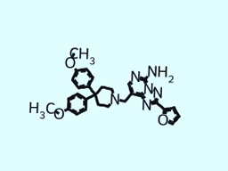 COc1ccc(C2(c3ccc(OC)cc3)CCN(Cc3cnc(N)n4nc(-c5ccco5)nc34)CC2)cc1